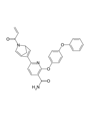 C=CC(=O)N1C=C2CC1C=C2c1ccc(C(N)=O)c(Oc2ccc(Oc3ccccc3)cc2)n1